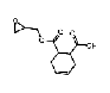 O=C(O)C1CC=CCC1C(=O)OCC1CO1